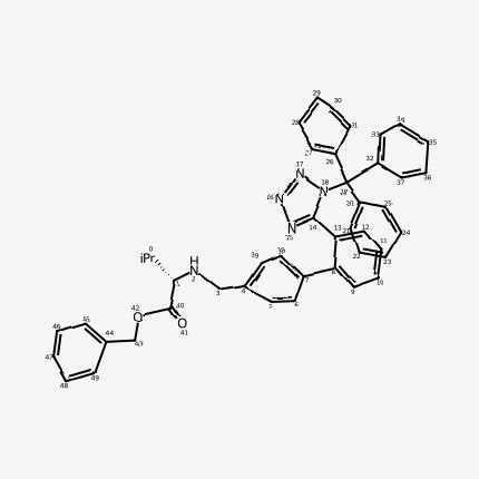 CC(C)[C@H](NCc1ccc(-c2ccccc2-c2nnnn2C(c2ccccc2)(c2ccccc2)c2ccccc2)cc1)C(=O)OCc1ccccc1